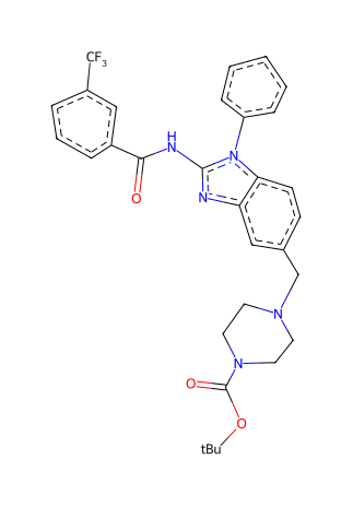 CC(C)(C)OC(=O)N1CCN(Cc2ccc3c(c2)nc(NC(=O)c2cccc(C(F)(F)F)c2)n3-c2ccccc2)CC1